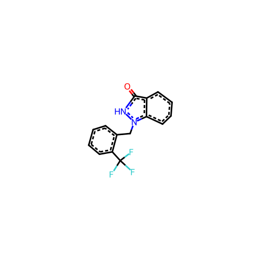 O=c1[nH]n(Cc2ccccc2C(F)(F)F)c2ccccc12